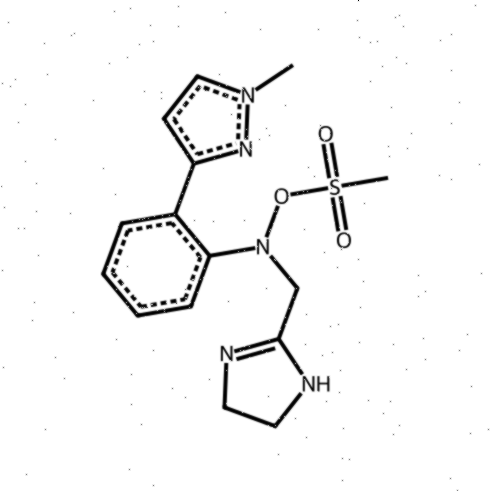 Cn1ccc(-c2ccccc2N(CC2=NCCN2)OS(C)(=O)=O)n1